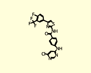 O=C(Nc1nc(-c2ccc(F)c(C(F)(F)F)c2)cs1)c1ccc(Nc2cc(Cl)ncn2)cc1